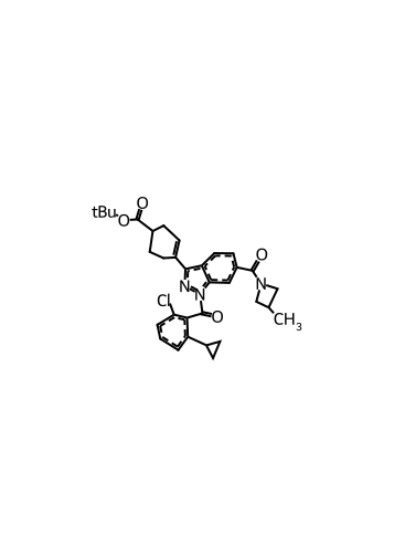 CC1CN(C(=O)c2ccc3c(C4=CCC(C(=O)OC(C)(C)C)CC4)nn(C(=O)c4c(Cl)cccc4C4CC4)c3c2)C1